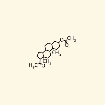 CC(=O)OC1CCC2(C)C(CCC3C2CCC2(C)C(C(C)=O)CCC32)C1